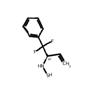 C=C[C@@H](NS)C(F)(F)c1ccccc1